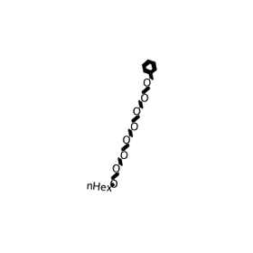 CCCCCCOCCOCCOCCOCCOCCOCCOCCOCc1ccccc1